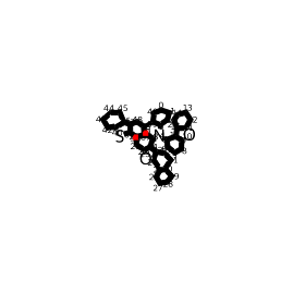 c1ccc(N(c2cccc3oc4ccccc4c23)c2cccc3oc4c5ccccc5ccc4c23)c(-c2ccc3sc4ccccc4c3c2)c1